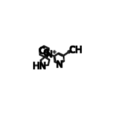 C#Cc1cncc([N+]23CCC(CC2)CC32CCNC2)c1